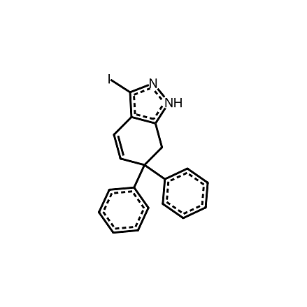 Ic1n[nH]c2c1C=CC(c1ccccc1)(c1ccccc1)C2